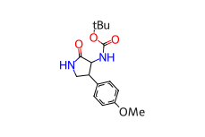 COc1ccc(C2CNC(=O)C2NC(=O)OC(C)(C)C)cc1